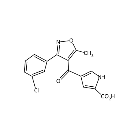 Cc1onc(-c2cccc(Cl)c2)c1C(=O)c1c[nH]c(C(=O)O)c1